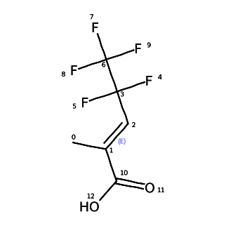 C/C(=C\C(F)(F)C(F)(F)F)C(=O)O